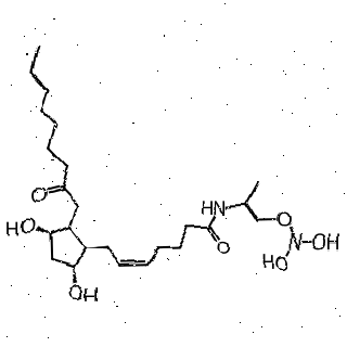 CCCCCCCC(=O)CC1[C@H](O)C[C@H](O)[C@@H]1C/C=C\CCCC(=O)NC(C)CON(O)O